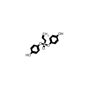 C=CCP(=O)(Oc1ccc(O)cc1)Oc1ccc(O)cc1